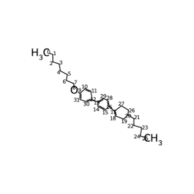 CCCCCCCCOc1ccc(-c2ccc(C3=CCC(CCCCC)CC3)cc2)cc1